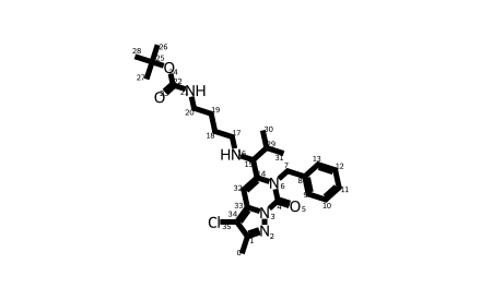 Cc1nn2c(=O)n(Cc3ccccc3)c(C(NCCCCNC(=O)OC(C)(C)C)C(C)C)cc2c1Cl